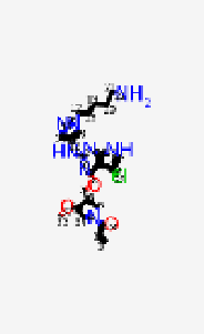 C=CC(=O)N1C[C@H](COc2nc(Nc3cnn(CCCCCN)c3)nc3[nH]cc(Cl)c23)[C@@H](OC)C1